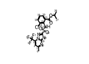 Cc1cc(C(F)(F)F)n2nc(S(=O)(=O)Nc3c(Cl)cccc3C(=O)OC(C)C)nc2n1